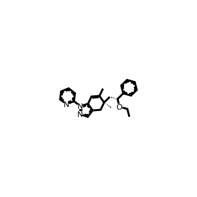 CCO[C@H](C[C@@]1(C)Cc2cnn(-c3ccccn3)c2C=C1C)c1ccccc1